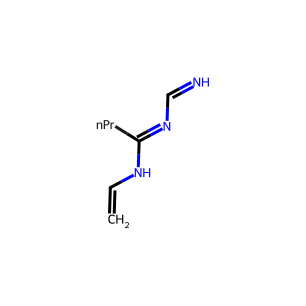 C=CN/C(CCC)=N/C=N